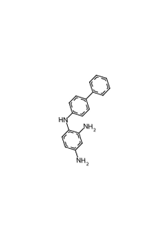 Nc1ccc(Nc2ccc(-c3ccccc3)cc2)c(N)c1